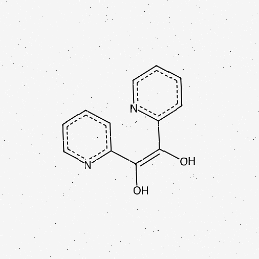 O/C(=C(\O)c1ccccn1)c1ccccn1